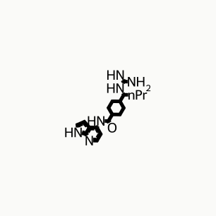 CCCC(NC(=N)N)C1CCC(C(=O)Nc2ccnc3[nH]ccc23)CC1